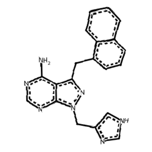 Nc1ncnc2c1c(Cc1cccc3ccccc13)nn2Cc1c[nH]cn1